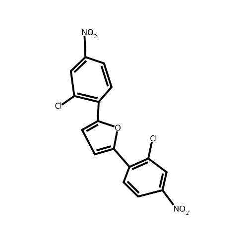 O=[N+]([O-])c1ccc(-c2ccc(-c3ccc([N+](=O)[O-])cc3Cl)o2)c(Cl)c1